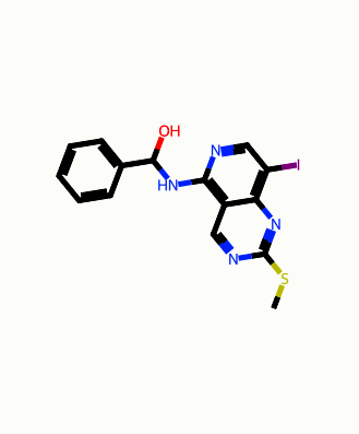 CSc1ncc2c(NC(O)c3ccccc3)ncc(I)c2n1